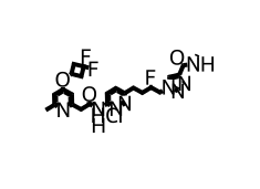 CNC(=O)c1cn(C[C@H](F)CCc2ccc(NC(=O)Cc3cc(OC4CC(F)(F)C4)cc(C)n3)nn2)nn1.Cl